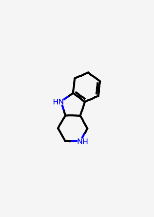 C1=CC2=C(CC1)NC1CCNCC21